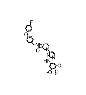 COc1cc(Nc2nccc(N3CCCC(C(=O)NCc4ccc(Oc5ccc(F)cc5)cc4)C3)n2)cc(OC)c1OC